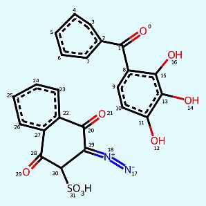 O=C(c1ccccc1)c1ccc(O)c(O)c1O.[N-]=[N+]=C1C(=O)c2ccccc2C(=O)C1S(=O)(=O)O